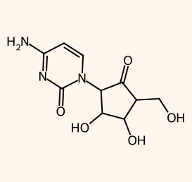 Nc1ccn(C2C(=O)C(CO)C(O)C2O)c(=O)n1